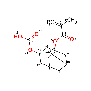 C=C(C)C(=O)OC12CC3CC(CC(OC(=O)O)(C3)C1)C2